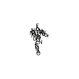 Cc1c(-c2ncnc(N)c2OC[C@@H]2CCCN2C(=O)/C(C#N)=C/C(C)(C)N2CCN(C3COC3)CC2)cc(F)cc1N1CCn2c(cc3c2CC(C)(C)C3)C1=O